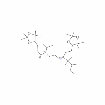 C=C(CCC1OC(C)(C)OC1(C)C)[C@@H](CC/C=C(\CCC1OC(C)(C)OC1(C)C)C(C)(C)C(C)CC)C(C)C